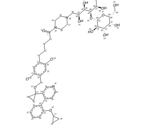 O=C(CCCCc1cc(Cl)c(COC2(c3cnccc3-c3ccccc3OC3CC3)CC2)cc1Cl)N1CCN(C[C@H](O)[C@@H](O)[C@H](O[C@@H]2O[C@H](CO)[C@H](O)[C@H](O)[C@H]2O)[C@H](O)CO)CC1